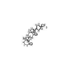 O=C1CCCCN1C[C@]1(O)CC[C@]2(CCN(c3ccc(C(F)(F)F)cc3)C2=O)CC1